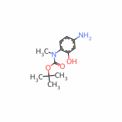 CN(C(=O)OC(C)(C)C)c1ccc(N)cc1O